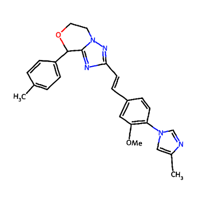 COc1cc(C=Cc2nc3n(n2)CCOC3c2ccc(C)cc2)ccc1-n1cnc(C)c1